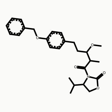 COC(CCc1ccc(OCc2ccccc2)cc1)C(C)C(=O)N1C(=O)OCC1C(C)C